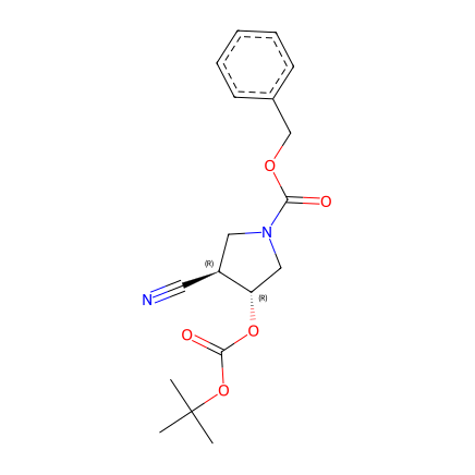 CC(C)(C)OC(=O)O[C@H]1CN(C(=O)OCc2ccccc2)C[C@@H]1C#N